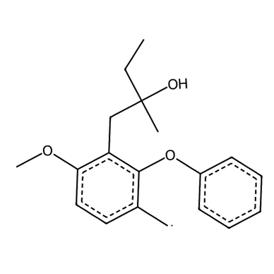 [CH2]c1ccc(OC)c(CC(C)(O)CC)c1Oc1ccccc1